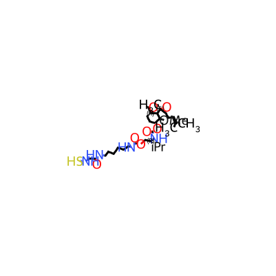 COC1C(OC(=O)N[C@@H](COC(=O)NCCCCCCNC(=O)CNS)C(C)C)CC[C@]2(CO2)C1[C@]1(C)OC1CC=C(C)C